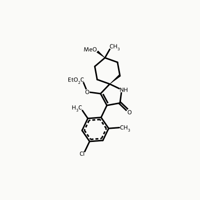 CCOC(=O)OC1=C(c2c(C)cc(Cl)cc2C)C(=O)N[C@]12CC[C@](C)(OC)CC2